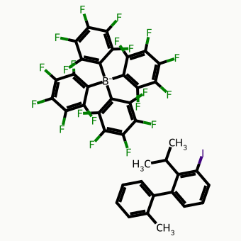 Cc1ccccc1-c1cccc(I)c1C(C)C.Fc1c(F)c(F)c([B-](c2c(F)c(F)c(F)c(F)c2F)(c2c(F)c(F)c(F)c(F)c2F)c2c(F)c(F)c(F)c(F)c2F)c(F)c1F